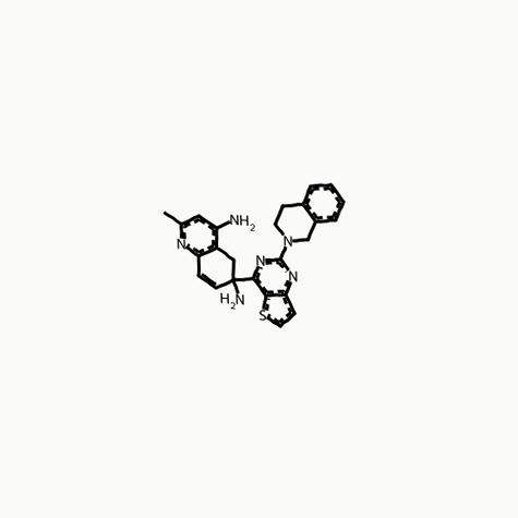 Cc1cc(N)c2c(n1)C=CC(N)(c1nc(N3CCc4ccccc4C3)nc3ccsc13)C2